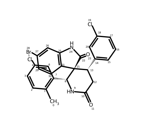 Cc1ccc(Cl)cc1[C@H]1NC(=O)C[C@@H](c2cccc(Cl)c2)[C@]12C(=O)Nc1cc(Br)ccc12